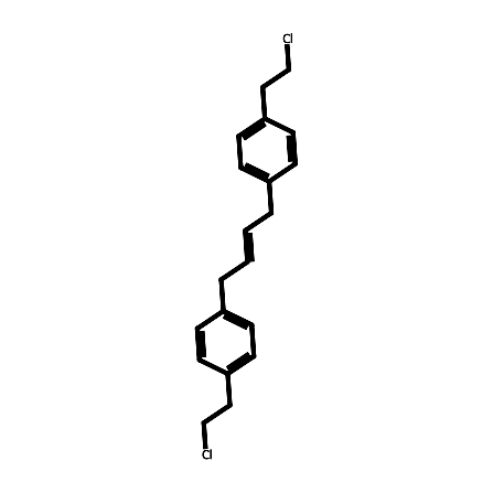 ClCCc1ccc(CC=CCc2ccc(CCCl)cc2)cc1